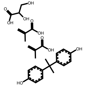 C=C(C)C(=O)O.C=C(C)C(=O)O.CC(C)(c1ccc(O)cc1)c1ccc(O)cc1.O=C(O)C(O)CO